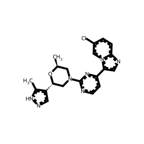 Cc1[nH]ncc1[C@H]1CN(c2nccc(-c3cnc4ccc(Cl)cn34)n2)C[C@H](C)O1